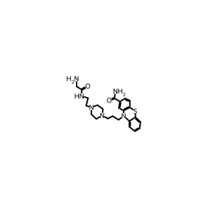 NCC(=O)NCCN1CCN(CCCN2c3ccccc3Sc3ccc(C(N)=O)cc32)CC1